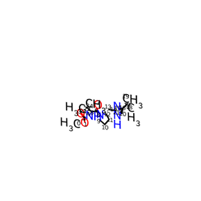 COC(=O)N[C@H](C(=O)N1CCC[C@H]1Cc1nc(C(C)C)c[nH]1)C(C)C